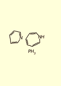 C1=CC=CNC=C1.P.c1ccncc1